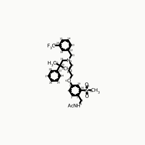 CC(=O)NCc1ccc(OCCCN(Cc2cccc(C(F)(F)F)c2)CC(C)(C)c2ccccc2)cc1S(C)(=O)=O